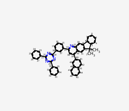 CC1(C)c2ccccc2-c2cc3nc(-c4cccc(-c5nc(-c6ccccc6)nc(-c6ccccc6)n5)c4)cc(-c4ccc5ccccc5c4)c3cc21